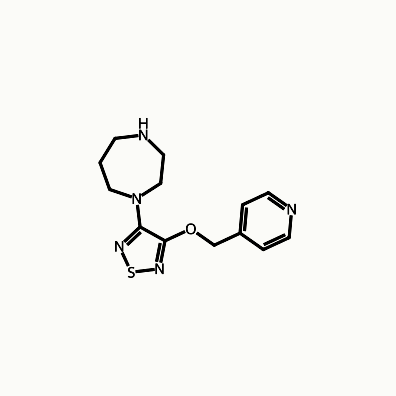 c1cc(COc2nsnc2N2CCCNCC2)ccn1